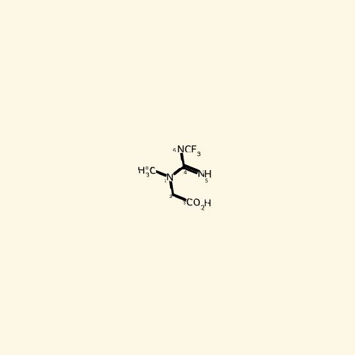 CN(CC(=O)O)C(=N)NC(F)(F)F